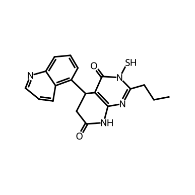 CCCc1nc2c(c(=O)n1S)C(c1cccc3ncccc13)CC(=O)N2